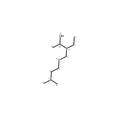 CCN(COCCN(C)C)C(C)O